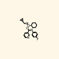 O=C(c1cccnc1)N(c1ccc(F)cc1)[C@H]1CCCC[C@@H]1OOCC1CC1